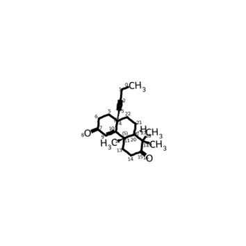 CCC#C[C@]12CCC(=O)C=C1[C@@]1(C)CCC(=O)C(C)(C)[C@@H]1CC2